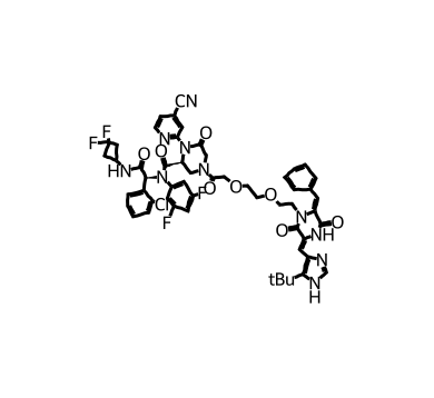 CC(C)(C)c1[nH]cnc1/C=c1\[nH]c(=O)/c(=C/c2ccccc2)n(CCOCCOCC(=O)N2CC(=O)N(c3cc(C#N)ccn3)[C@H](C(=O)N(c3cc(F)cc(F)c3)[C@H](C(=O)NC3CC(F)(F)C3)c3ccccc3Cl)C2)c1=O